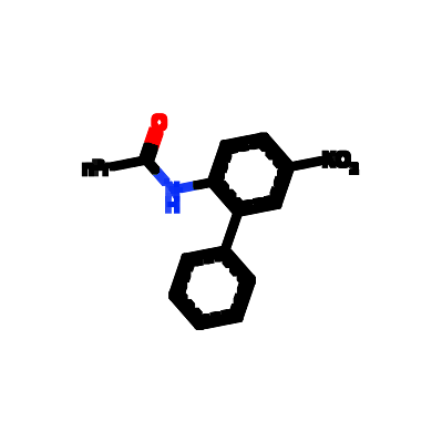 CCCC(=O)Nc1ccc([N+](=O)[O-])cc1-c1ccccc1